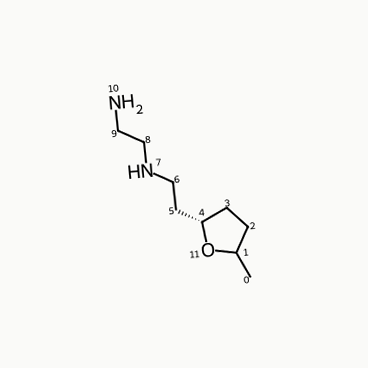 CC1CC[C@@H](CCNCCN)O1